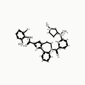 Cc1cccc(F)c1NC(=O)c1cc2c(s1)-c1ccccc1N(C(=O)c1cccc(N(C)C3CC[S+]([O-])C3)n1)CC2